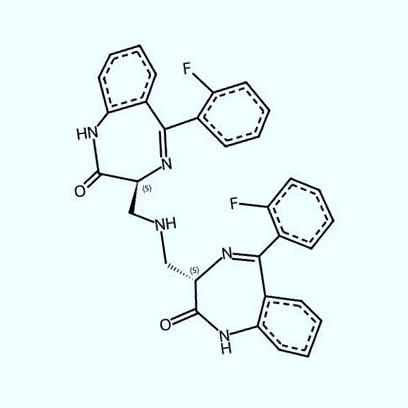 O=C1Nc2ccccc2C(c2ccccc2F)=N[C@H]1CNC[C@@H]1N=C(c2ccccc2F)c2ccccc2NC1=O